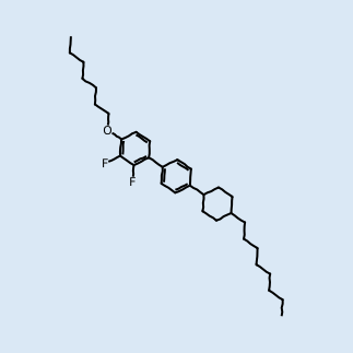 CCCCCCCCC1CCC(c2ccc(-c3ccc(OCCCCCCC)c(F)c3F)cc2)CC1